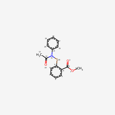 COC(=O)c1ccccc1SN(C(C)=O)c1ccccc1